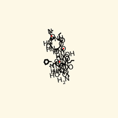 CC[C@H](C)[C@H](NC(=O)[C@@H](Cc1ccccc1)NC)C(=O)N[C@@H](CO)C(=O)N[C@H](CCCN)C(=O)N[C@@H](C(=O)N[C@H](C(=O)N[C@@H](CO)C(=O)N[C@H]1C(=O)N[C@@H](C)C(=O)NC2(CC2CCN(C)C)C(=O)N[C@@H]([C@@H](C)CC)C(=O)O[C@H]1C)[C@@H](C)CC)[C@@H](C)CC